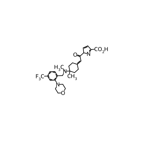 CN(Cc1ccc(C(F)(F)F)cc1N1CCOCC1)C1(C)CCC(=CC(=O)C2C=CC(C(=O)O)=N2)CC1